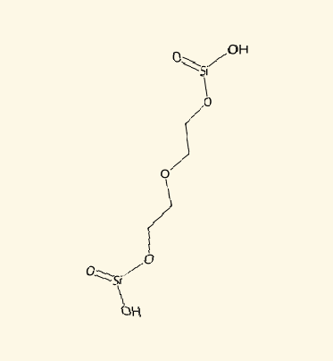 O=[Si](O)OCCOCCO[Si](=O)O